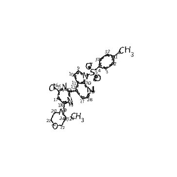 Cc1ccc(S(=O)(=O)n2ccc3c(-c4nc(Cl)cc(N5CCOC[C@H]5C)n4)ccnc32)cc1